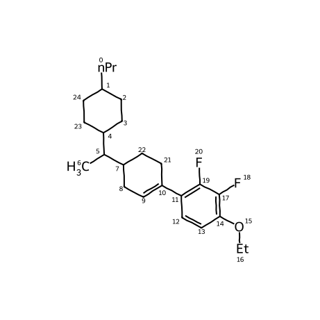 CCCC1CCC(C(C)C2CC=C(c3ccc(OCC)c(F)c3F)CC2)CC1